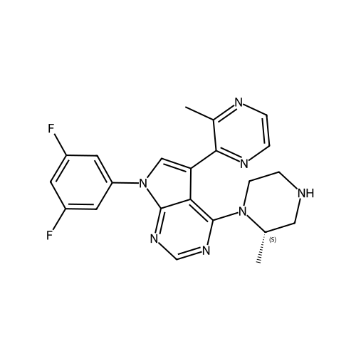 Cc1nccnc1-c1cn(-c2cc(F)cc(F)c2)c2ncnc(N3CCNC[C@@H]3C)c12